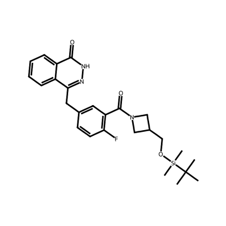 CC(C)(C)[Si](C)(C)OCC1CN(C(=O)c2cc(Cc3n[nH]c(=O)c4ccccc34)ccc2F)C1